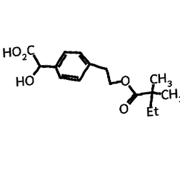 CCC(C)(C)C(=O)OCCc1ccc(C(O)C(=O)O)cc1